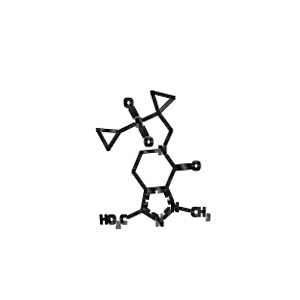 Cn1nc(C(=O)O)c2c1C(=O)N(CC1(S(=O)(=O)C3CC3)CC1)CC2